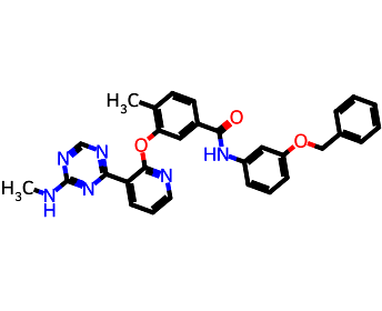 CNc1ncnc(-c2cccnc2Oc2cc(C(=O)Nc3cccc(OCc4ccccc4)c3)ccc2C)n1